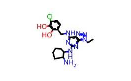 CCn1nnc2c(NCc3ccc(Cl)c(O)c3O)nc(NC3CCCCC3N)nc21